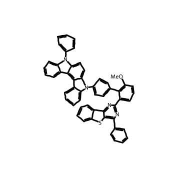 COc1cccc(-c2nc(-c3ccccc3)c3sc4ccccc4c3n2)c1-c1ccc(-n2c3ccccc3c3c4c5ccccc5n(-c5ccccc5)c4ccc32)cc1